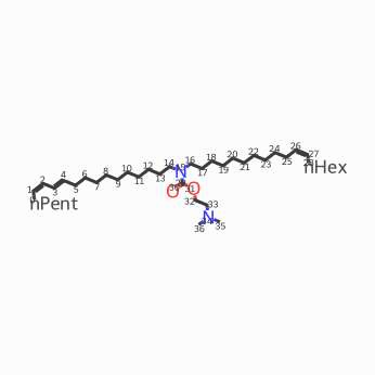 CCCCC/C=C\C=C\CCCCCCCCCCN(CCCCCCCCCC/C=C\CCCCCC)C(=O)OCCN(C)C